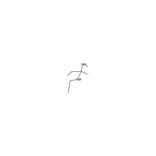 [CH2]C(N)(CC)NCC